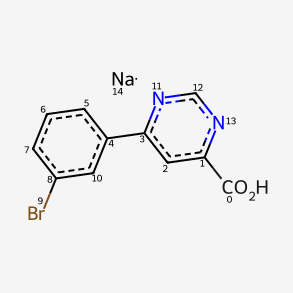 O=C(O)c1cc(-c2cccc(Br)c2)ncn1.[Na]